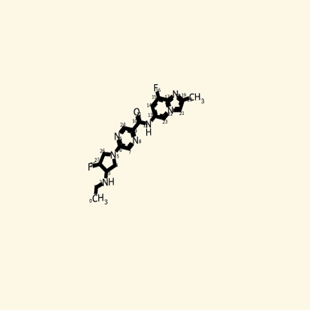 CCNC1CN(c2cnc(C(=O)Nc3cc(F)c4nc(C)cn4c3)cn2)CC1F